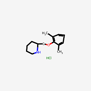 Cc1cccc(C)c1OCC1CCCCN1.Cl